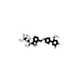 COc1cc(F)c(F)cc1-c1ccc(OCc2cccc3c(N(C)C(=O)OC(C)(C)C)noc23)cc1